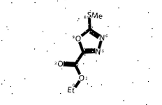 CCOC(=O)c1nnc(SC)o1